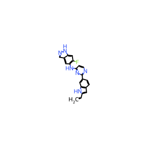 C=Cc1cc2ccc(-c3nccc(Nc4cc5cn[nH]c5cc4F)n3)cc2[nH]1